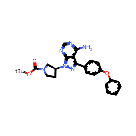 CC(C)(C)OC(=O)N1CCC(n2nc(-c3ccc(Oc4ccccc4)cc3)c3c(N)ncnc32)C1